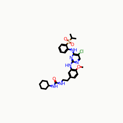 COc1ccc(CCNC(=O)NC2CCCCC2)cc1Nc1ncc(Cl)c(Nc2ccccc2S(=O)(=O)C(C)C)n1